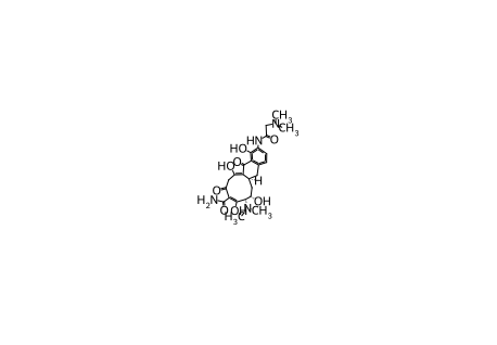 CN(C)CC(=O)Nc1ccc2c(c1O)C(=O)/C1=C(\O)CC(=O)/C(C(N)=O)=C(/O)[C@@H](N(C)C)[C@@H](O)C[C@@H]1C2